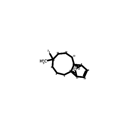 CC1(I)CCCc2c(c3ccc2o3)CCC1